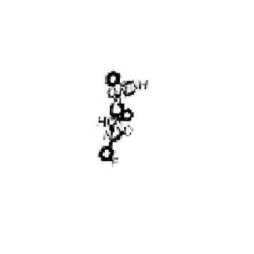 O=C(N1CC[C@@](O)(Cn2cnc(-c3cccc(F)c3)cc2=O)C2(CCCC2)C1)N1CCNC[C@H]1c1ccccc1